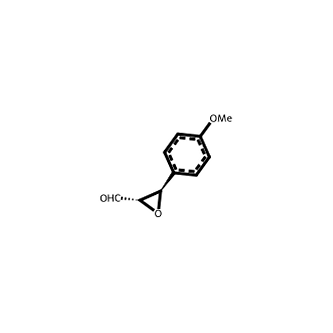 COc1ccc([C@H]2O[C@@H]2C=O)cc1